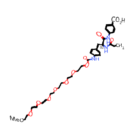 C=CC(=O)N[C@@H](Cc1ccc(NC(=O)OCCOCCOCCOCCOCCOCCOCCOC)cc1)C(=O)Nc1ccc(C(=O)O)cc1